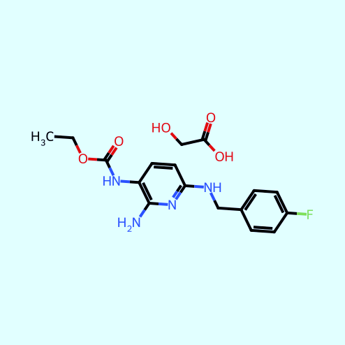 CCOC(=O)Nc1ccc(NCc2ccc(F)cc2)nc1N.O=C(O)CO